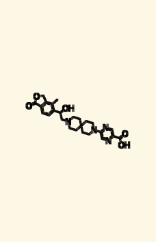 Cc1c([C@@H](O)CN2CCC3(CC2)CCN(c2cnc(C(=O)O)cn2)CC3)ccc2c1COC2=O